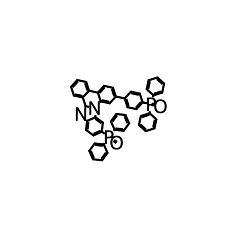 O=P(c1ccccc1)(c1ccccc1)c1ccc(-c2ccc3c4ccccc4c4nc5ccc(P(=O)(c6ccccc6)c6ccccc6)cc5n4c3c2)cc1